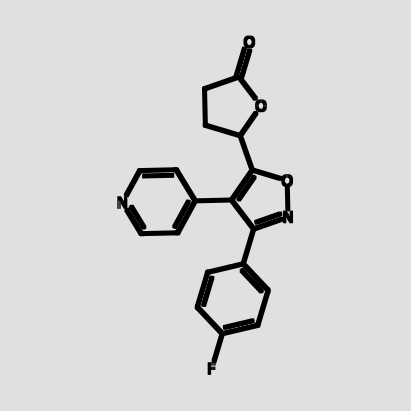 O=C1CCC(c2onc(-c3ccc(F)cc3)c2-c2ccncc2)O1